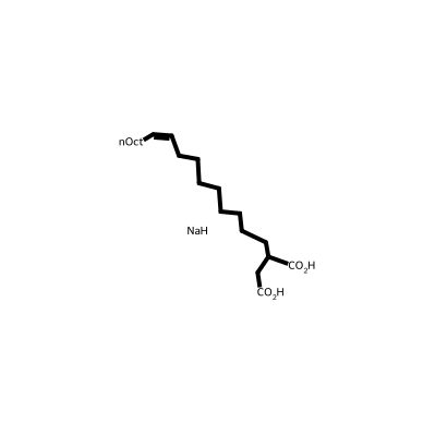 CCCCCCCC/C=C\CCCCCCCCC(CC(=O)O)C(=O)O.[NaH]